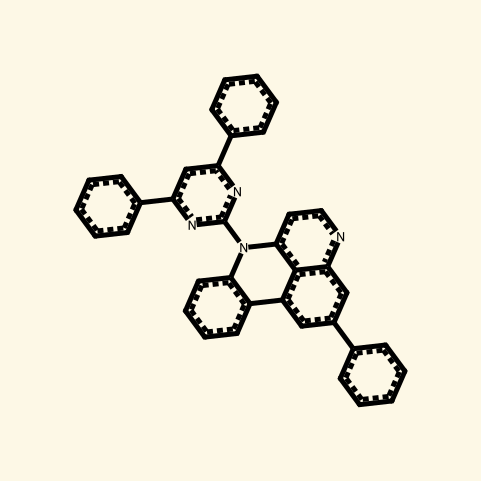 c1ccc(-c2cc3c4c(ccnc4c2)N(c2nc(-c4ccccc4)cc(-c4ccccc4)n2)c2ccccc2-3)cc1